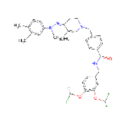 Cc1ccc(N(C)/N=C2/CCN(Cc3ccc(C(=O)NCc4ccc(OC(F)F)c(OC(F)F)c4)cc3)C=C2C=O)cc1C